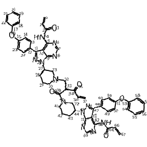 C=CC(=O)Nc1ncnc2c1c(-c1ccc(Oc3ccccc3)cc1)nn2C1CCCN(CC(C(=O)C=C)C(=O)N2CCC[C@@H](n3nc(-c4ccc(Oc5ccccc5)cc4)c4c(NC(=O)C=C)ncnc43)C2)C1